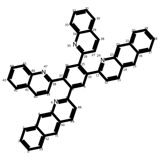 c1ccc2cc3nc(-c4cc(-c5ccc6cc7ccccc7cc6n5)c(-c5ccc6ccccc6n5)cc4-c4ccc5ccccc5n4)ccc3cc2c1